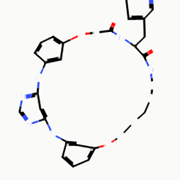 O=C1COc2cccc(c2)Nc2cc(ncn2)Nc2cccc(c2)OCCCCCNC(=O)C(Cc2cccnc2)N1